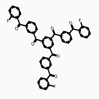 O=C(c1cc(C(=O)c2cccc(C(=O)c3ccccc3F)c2)cc(C(=O)c2cccc(C(=O)c3ccccc3F)c2)c1)c1cccc(C(=O)c2ccccc2F)c1